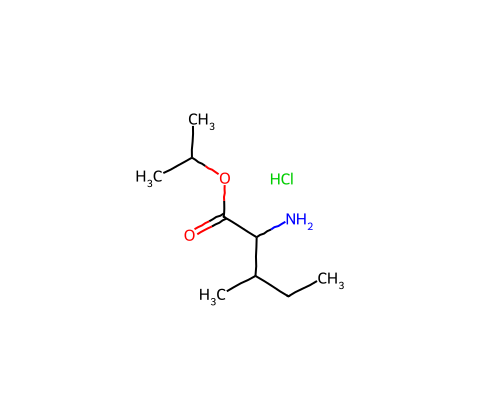 CCC(C)C(N)C(=O)OC(C)C.Cl